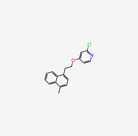 Cc1ccc(CCOc2ccnc(Cl)c2)c2ccccc12